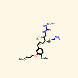 CCCCCNC(=S)NC[C@H](O)[C@@H](BOCN)C[C@H](Cc1ccc(OC)c(OCCCOC)c1)C(C)C